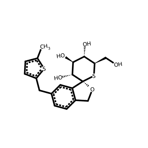 Cc1ccc(Cc2ccc3c(c2)[C@]2(OC3)S[C@H](CO)[C@@H](O)[C@H](O)[C@H]2O)s1